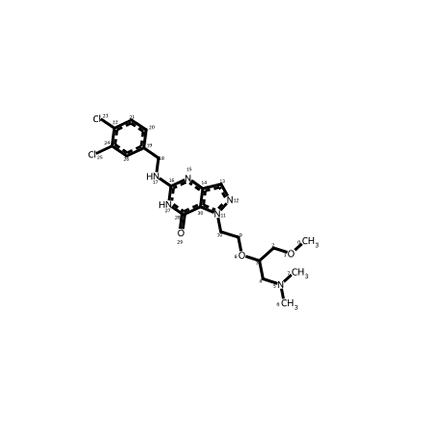 COCC(CN(C)C)OCCn1ncc2nc(NCc3ccc(Cl)c(Cl)c3)[nH]c(=O)c21